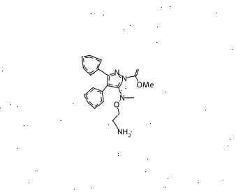 C=C(OC)n1nc(-c2ccccc2)c(-c2ccccc2)c1N(C)OCCN